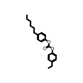 CCCCCCc1ccc(OC(=O)Oc2ccc(CC)cc2)cc1